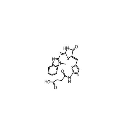 Cn1c(N=C2NC(=O)C(=Cc3cnc(NC(=O)CCC(=O)O)s3)S2)nc2ccccc21